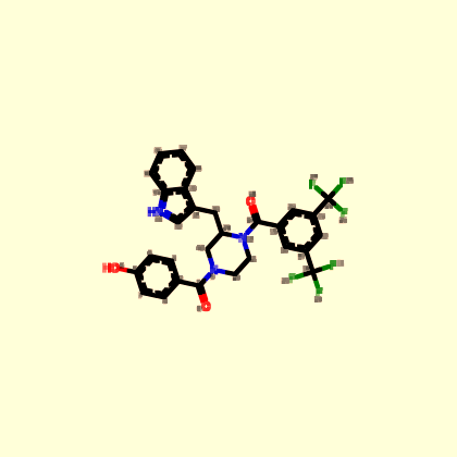 O=C(c1ccc(O)cc1)N1CCN(C(=O)c2cc(C(F)(F)F)cc(C(F)(F)F)c2)C(Cc2c[nH]c3ccccc23)C1